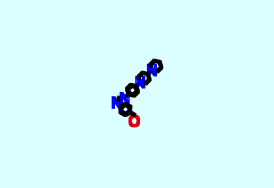 O=Cc1ccc2ncn(-c3ccc(N4CCC(N5CCCCC5)CC4)cc3)c2c1